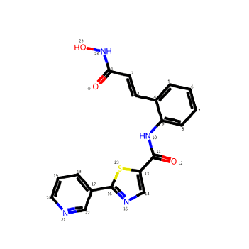 O=C(C=Cc1ccccc1NC(=O)c1cnc(-c2cccnc2)s1)NO